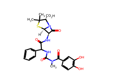 CN(C(=O)NC(C(=O)N[C@@H]1C(=O)N2[C@@H]1SC(C)(C)[C@@H]2C(=O)O)c1ccccc1)C(=O)c1ccc(O)c(O)c1